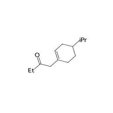 CCC(=O)CC1=CCC(C(C)C)CC1